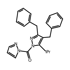 CC(C)c1c(Cc2ccccc2)c(Cc2ccccc2)nn1C(=O)n1cccn1